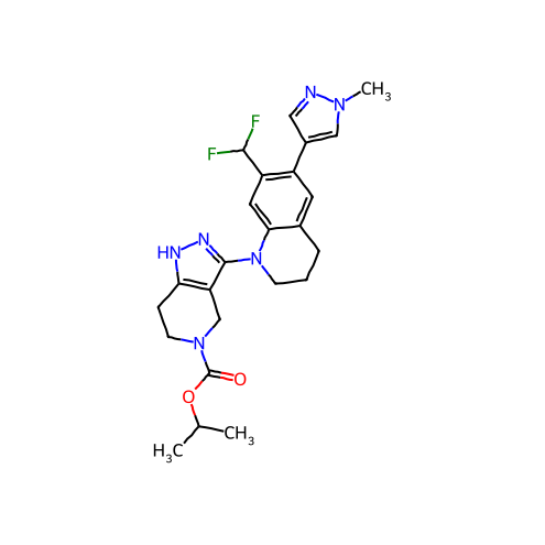 CC(C)OC(=O)N1CCc2[nH]nc(N3CCCc4cc(-c5cnn(C)c5)c(C(F)F)cc43)c2C1